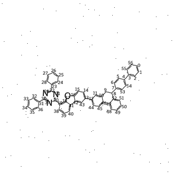 c1ccc(-c2ccc(C3Cc4cc(-c5ccc6oc7c(-c8nc(-c9ccccc9)nc(-c9ccccc9)n8)cccc7c6c5)ccc4-c4ccccc43)cc2)cc1